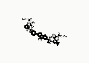 COC(=O)N[C@H](C(=O)N1CC2(CC2)C[C@@H]1c1ncc(-c2ccc3c(c2)C(F)(F)c2cc(-c4ccc5nc([C@@H]6[C@H]7CC[C@H](C7)N6C(=O)[C@@H](NC(=O)OC)C(C)C)[nH]c5c4)ccc2-3)[nH]1)C(C)C